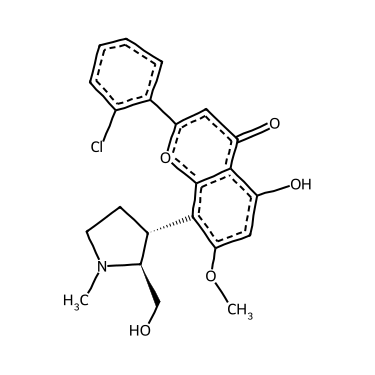 COc1cc(O)c2c(=O)cc(-c3ccccc3Cl)oc2c1[C@H]1CCN(C)[C@@H]1CO